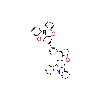 c1cc(-c2cc3c4c(c2)Oc2ccccc2B4c2ccccc2O3)cc(-c2cccc3oc4c(cc5c6ccccc6n6c7ccccc7c4c56)c23)c1